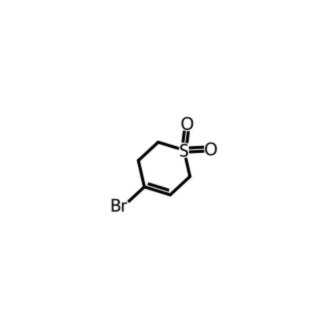 O=S1(=O)CC=C(Br)CC1